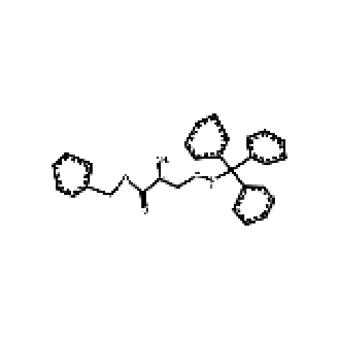 N[C@@H](CONC(c1ccccc1)(c1ccccc1)c1ccccc1)C(=O)OCc1ccccc1